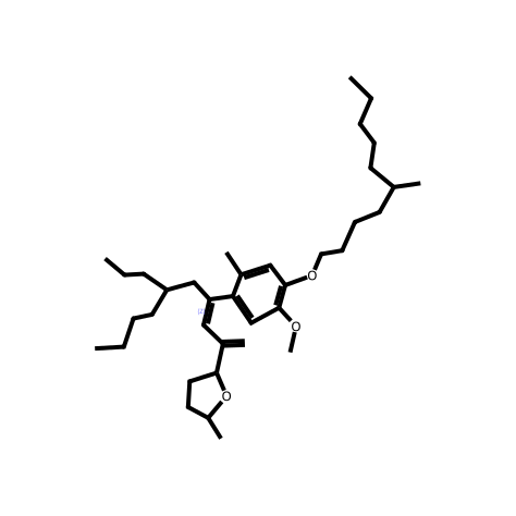 C=C(/C=C(/CC(CCC)CCCC)c1cc(OC)c(OCCCCC(C)CCCCC)cc1C)C1CCC(C)O1